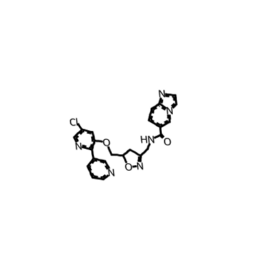 O=C(NCC1=NOC(COc2cc(Cl)cnc2-c2cccnc2)C1)c1ccc2nccn2c1